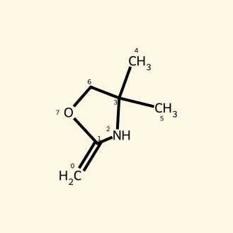 C=C1NC(C)(C)CO1